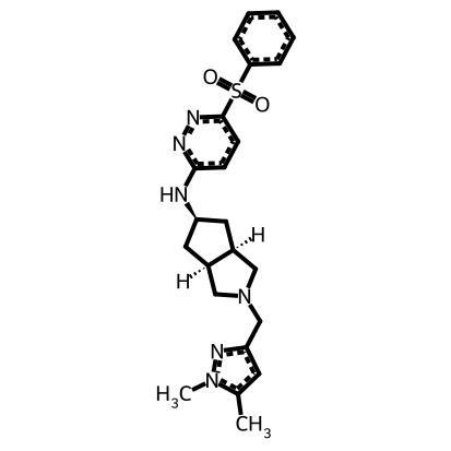 Cc1cc(CN2C[C@H]3C[C@@H](Nc4ccc(S(=O)(=O)c5ccccc5)nn4)C[C@H]3C2)nn1C